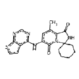 Cc1cc(Nc2ncnc3sccc23)c(=O)n2c1C(=O)NC21CCCCC1